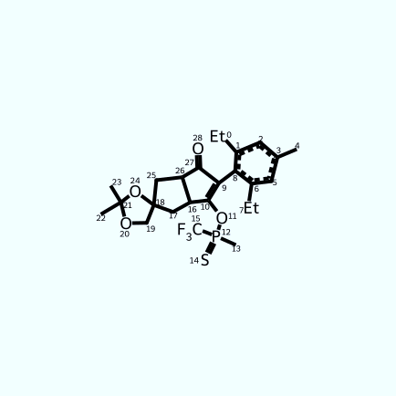 CCc1cc(C)cc(CC)c1C1=C(OP(C)(=S)C(F)(F)F)C2CC3(COC(C)(C)O3)CC2C1=O